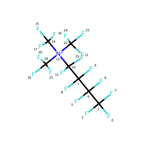 FC(F)(F)C(F)(F)C(F)(F)C(F)(F)[N+](C(F)(F)F)(C(F)(F)F)C(F)(F)F